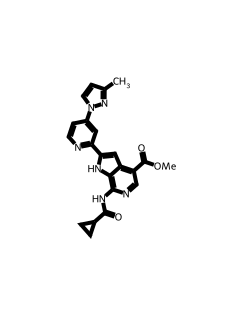 COC(=O)c1cnc(NC(=O)C2CC2)c2[nH]c(-c3cc(-n4ccc(C)n4)ccn3)cc12